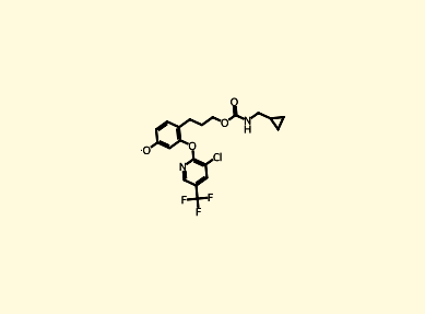 [O]c1ccc(CCCOC(=O)NCC2CC2)c(Oc2ncc(C(F)(F)F)cc2Cl)c1